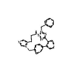 CCCCc1cncn1Cc1ccc(-c2ccccc2-c2nnn(Cc3ccccc3)n2)cc1